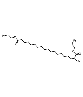 CC(C)CCOC(=O)CCCCCCCCCCCCCCCCC(C(=O)OCCC(C)C)C(C)C